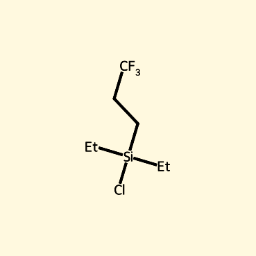 CC[Si](Cl)(CC)CCC(F)(F)F